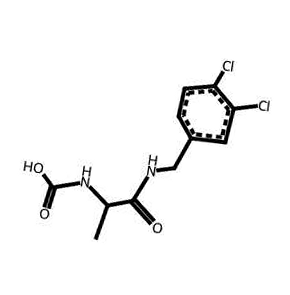 CC(NC(=O)O)C(=O)NCc1ccc(Cl)c(Cl)c1